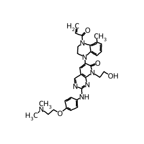 C=CC(=O)N1CCN(c2cc3cnc(Nc4ccc(OCCN(C)C)cc4)nc3n(CCO)c2=O)c2cccc(C)c21